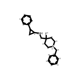 FC1(CNC2CC2c2ccccc2)CCN(Cc2ccccc2)CC1